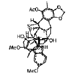 COC1=C(O)C2C(C=C1C)CC1(O)CN(C)C2[C@@H]2[C@@H]3SC[C@]4(NCCc5c4[nH]c4ccc(OC)cc54)C(=O)OCC(c4c5c(c(C)c(OC(C)=O)c43)OCO5)N21